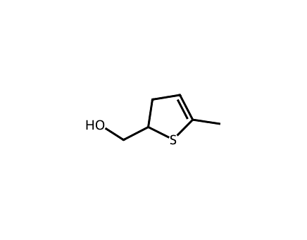 CC1=CCC(CO)S1